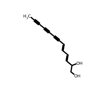 CC#CC#CC#C/C=C/C=C/C(O)CO